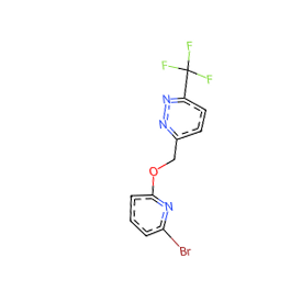 FC(F)(F)c1ccc(COc2cccc(Br)n2)nn1